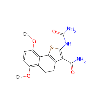 CCOc1ccc(OCC)c2c1CCc1c-2sc(NC(N)=O)c1C(N)=O